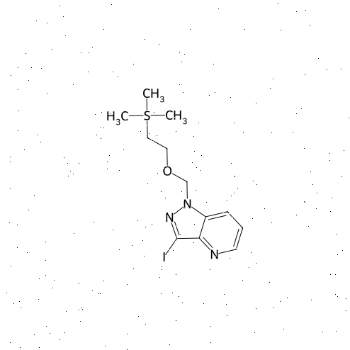 CS(C)(C)CCOCn1nc(I)c2ncccc21